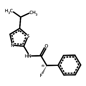 CC(C)c1cnc(NC(=O)[C@@H](F)c2ccccc2)s1